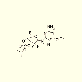 CCOc1nc(N)nc2c1ncn2[C@@H]1O[C@]2(F)C3OP(=O)(OC(C)C)O[C@]32[C@@]1(C)F